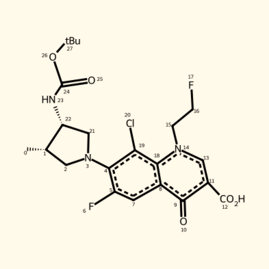 C[C@H]1CN(c2c(F)cc3c(=O)c(C(=O)O)cn(CCF)c3c2Cl)C[C@H]1NC(=O)OC(C)(C)C